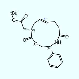 CC(C)(C)OC(=O)C[C@@H]1C/C=C/CCC(=O)N[C@H](c2ccccc2)COC1=O